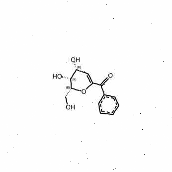 O=C(C1=C[C@@H](O)[C@@H](O)[C@@H](CO)O1)c1ccccc1